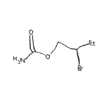 CCC(Br)COC(N)=O